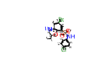 CCC1CNc2cc(Br)cc(S(=O)(=O)Nc3ccc(Cl)cc3)c2O1